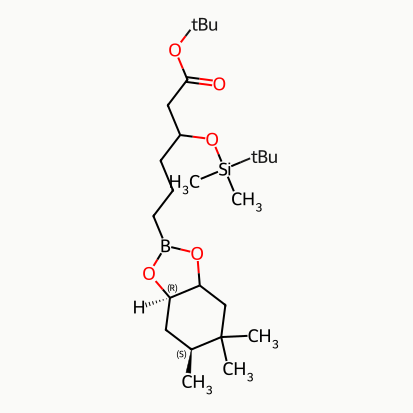 C[C@H]1C[C@H]2OB(CCCC(CC(=O)OC(C)(C)C)O[Si](C)(C)C(C)(C)C)OC2CC1(C)C